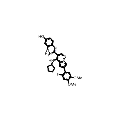 COc1cc(F)c(-c2cc3c(NC4CCCC4)c(/C(N)=N/c4ccc(O)cc4Cl)cnn3c2)cc1OC